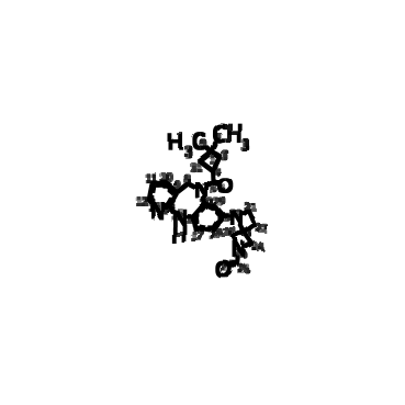 CC1(C)CC(C(=O)N2Cc3cccnc3Nc3ccc(N4CCC45CN(C=O)C5)cc32)C1